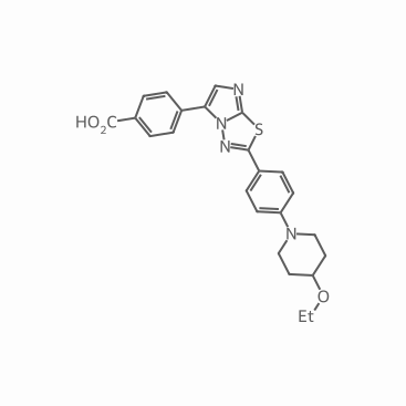 CCOC1CCN(c2ccc(-c3nn4c(-c5ccc(C(=O)O)cc5)cnc4s3)cc2)CC1